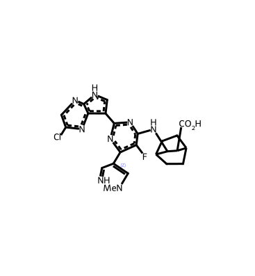 CN/C=C(\C=N)c1nc(-c2c[nH]c3ncc(Cl)nc23)nc(NC2C3CCC(CC3)C2C(=O)O)c1F